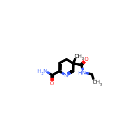 CCNC(=O)C1(C)C=NC(C(N)=O)=CC1